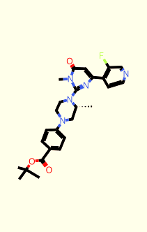 C[C@@H]1CN(c2ccc(C(=O)OC(C)(C)C)cc2)CCN1c1nc(-c2ccncc2F)cc(=O)n1C